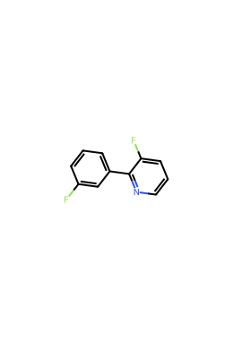 Fc1cccc(-c2ncccc2F)c1